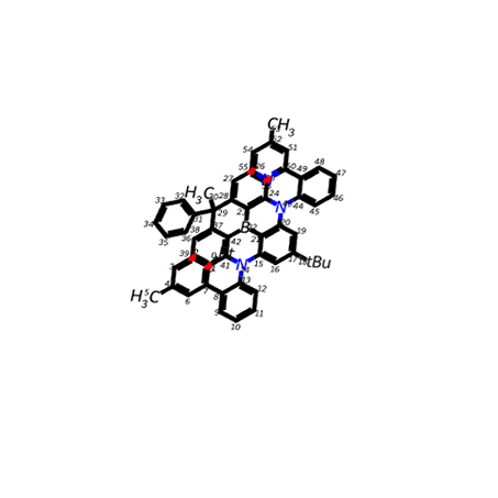 CCc1ccc(C)cc1-c1ccccc1N1c2cc(C(C)(C)C)cc3c2B2c4c(cccc4C(C)(c4ccccc4)c4cccc1c42)N3c1ccccc1-c1cc(C)ccn1